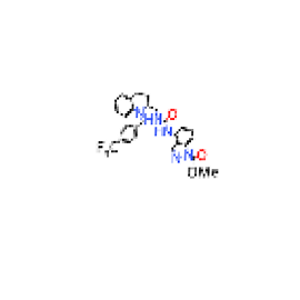 COC(=O)n1ncc2c(NC(=O)NCC3CCc4ccccc4N3Cc3ccc(C(F)(F)F)cc3)cccc21